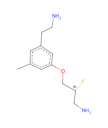 Cc1cc(CCN)cc(OC[C@H](F)CN)c1